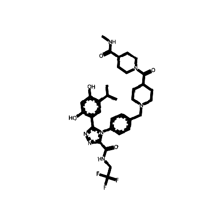 CNC(=O)C1CCN(C(=O)C2CCN(Cc3ccc(-n4c(C(=O)NCC(F)(F)F)nnc4-c4cc(C(C)C)c(O)cc4O)cc3)CC2)CC1